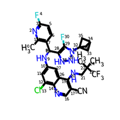 Cc1nc(F)ccc1[C@H](Nc1cc(Cl)c2ncc(C#N)c(NCC(C)(C)C(F)(F)F)c2c1)C1=C(F)N(C23CC(C2)C3)NN1